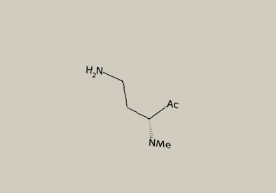 CN[C@H](CCN)C(C)=O